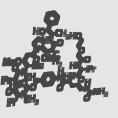 CC[C@H](C)[C@H]([C@@H](CC(=O)N1CCC[C@H]1[C@H](OC)[C@@H](C)C(=O)N[C@H](C)[C@@H](O)c1ccccc1)OC)N(C)C(=O)[C@@H](NC(=O)[C@H](C(C)C)N(C)C(=O)OCc1ccc(NC(=O)[C@H](CCCNC(N)=O)NC(=O)[C@@H](NC(=O)COCCO)C(C)C)cc1)C(C)C